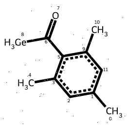 Cc1cc(C)c([C](=O)[GeH3])c(C)c1